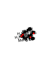 CNC(=O)C(CCN(C(=O)CO)C(c1cc(-c2cc(F)ccc2F)cn1Cc1ccccc1)C(C)(C)C)NC(=O)C(CC(N)=O)NC(=O)C(C)NC(=O)CNC(=O)Cc1ccncc1